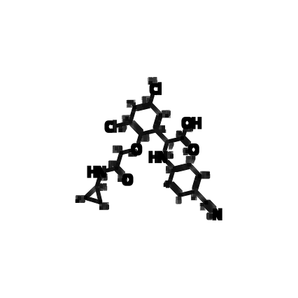 N#Cc1ccc(NC(C(=O)O)c2cc(Cl)cc(Cl)c2OCC(=O)NC2CC2)cc1